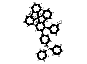 Clc1cccc(-c2c(-c3ccc(N(c4ccccc4)c4ccccc4)cc3)ccc3c2-c2ccccc2C32c3ccccc3-c3ccccc32)c1